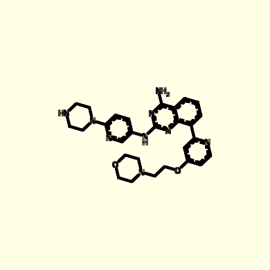 Nc1nc(Nc2ccc(N3CCNCC3)nc2)nc2c(-c3cc(OCCN4CCOCC4)ccn3)cccc12